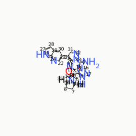 Nc1cc([C@@H]2C[C@H]3CC[C@@H](C2)N3C(=O)c2ncn[nH]2)nc2c(-c3cnc4[nH]ccc4c3)cnn12